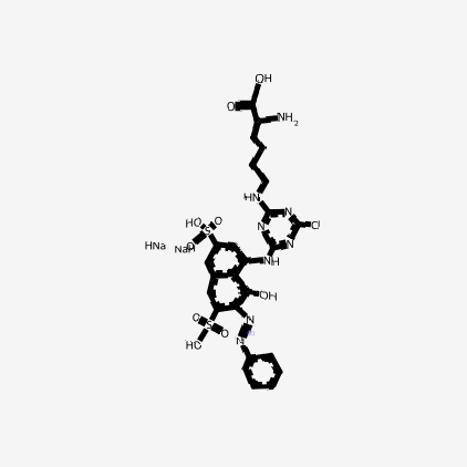 NC(CCCCNc1nc(Cl)nc(Nc2cc(S(=O)(=O)O)cc3cc(S(=O)(=O)O)c(/N=N/c4ccccc4)c(O)c23)n1)C(=O)O.[NaH].[NaH]